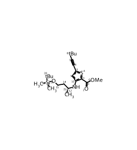 COC(=O)c1sc(C#CC(C)(C)C)cc1N[C@@H](C)CCO[Si](C)(C)C(C)(C)C